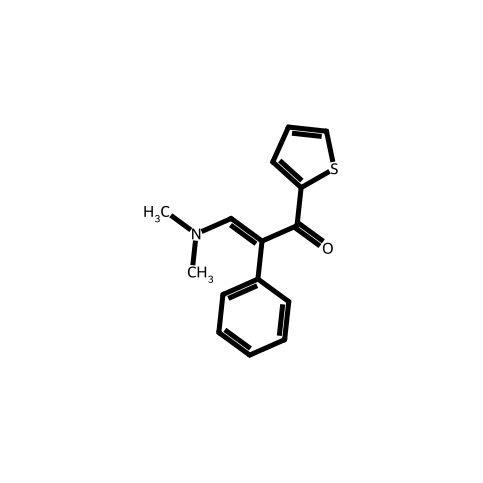 CN(C)/C=C(/C(=O)c1cccs1)c1ccccc1